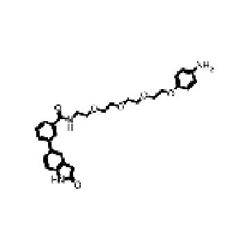 Nc1ccc(OCCOCCOCCOCCNC(=O)c2cccc(-c3ccc4c(c3)CC(=O)N4)c2)cc1